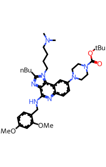 CCCCc1nc2c(NCc3ccc(OC)cc3OC)nc3ccc(N4CCN(C(=O)OC(C)(C)C)CC4)cc3c2n1CCCCN(C)C